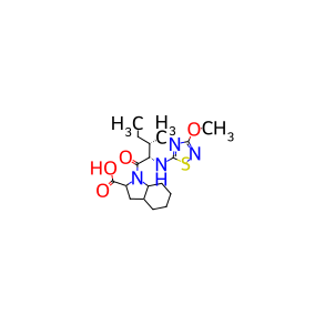 CC[C@H](C)[C@H](Nc1nc(OC)ns1)C(=O)N1C(C(=O)O)CC2CCCCC21